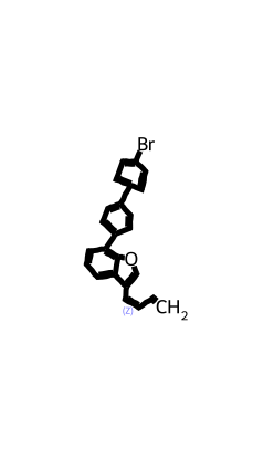 C=C/C=C\c1coc2c(-c3ccc(-c4ccc(Br)cc4)cc3)cccc12